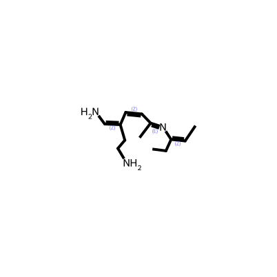 C\C=C(CC)/N=C(C)/C=C\C(=C/N)CCN